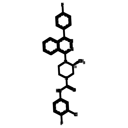 C[C@H]1CN(C(=O)Nc2ccc(F)c(Cl)c2)CCN1c1nnc(-c2ccc(F)cc2)c2ccccc12